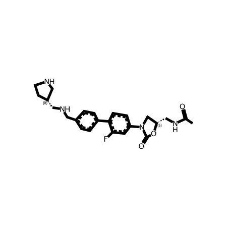 CC(=O)NC[C@H]1CN(c2ccc(-c3ccc(CNC[C@@H]4CCNC4)cc3)c(F)c2)C(=O)O1